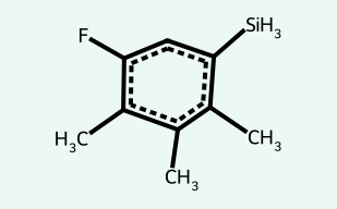 Cc1c(F)cc([SiH3])c(C)c1C